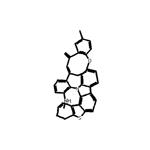 C=C1/C=C(/c2cccc(NC)c2-n2c3ccccc3c3ccc4sc5c(c4c32)C=CCC5)CCOc2ccc(C)cc21